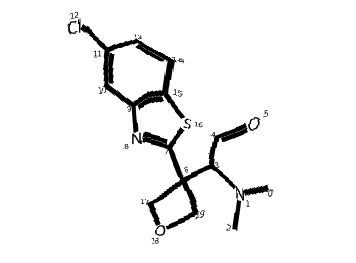 CN(C)C(C=O)C1(c2nc3cc(Cl)ccc3s2)COC1